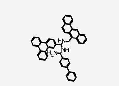 NC(NC(NCc1c2ccccc2cc2c1ccc1ccccc12)c1ccc2c3ccccc3c3ccccc3c2c1)c1ccc(-c2ccccc2)cc1